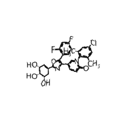 Cc1cc(Cl)cc(C)c1-n1cc(-c2nc(C3=C[C@@H](O)[C@@H](O)[C@H](O)C3)oc2-c2ccc(F)cc2F)ccc1=O